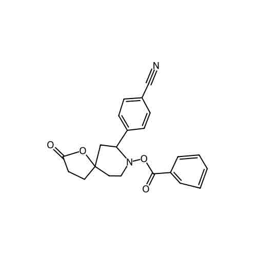 N#Cc1ccc(C2CC3(CCC(=O)O3)CCN2OC(=O)c2ccccc2)cc1